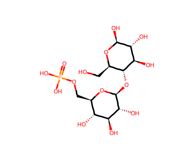 O=P(O)(O)OC[C@H]1O[C@@H](O[C@H]2[C@H](O)[C@@H](O)[C@H](O)O[C@@H]2CO)[C@H](O)[C@@H](O)[C@@H]1O